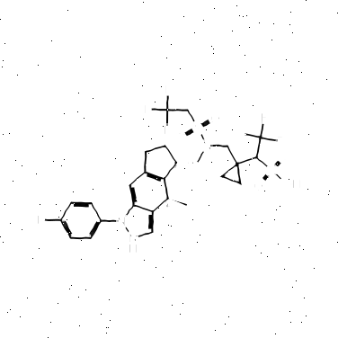 C[C@H]1C2=CNN(c3ccc(F)cc3)C2=CC2=C1[C@@H](CN(CC1(C(C(F)(F)F)S(=O)(=O)O)CC1)S(=O)(=O)CC(F)(F)F)CC2